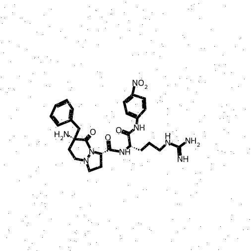 N=C(N)NCCC[C@H](NC(=O)[C@@H]1CCN2CC[C@@](N)(Cc3ccccc3)C(=O)N12)C(=O)Nc1ccc([N+](=O)[O-])cc1